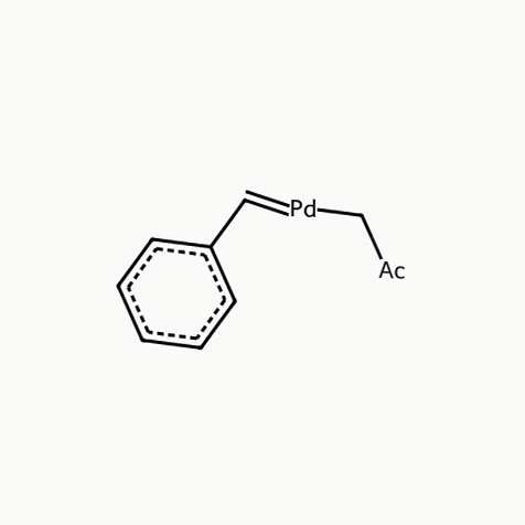 CC(=O)[CH2][Pd]=[CH]c1ccccc1